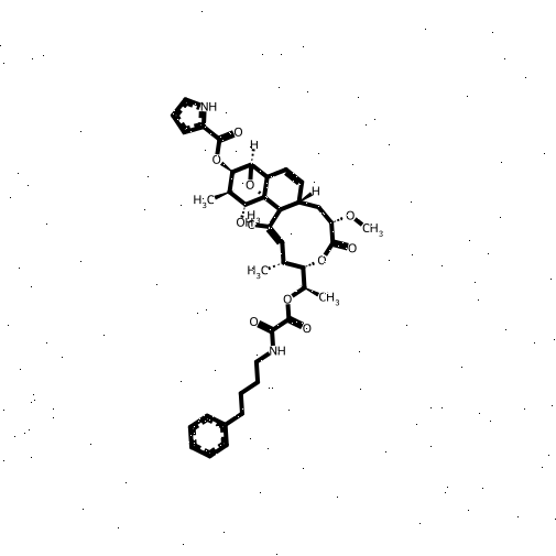 CO[C@H]1C[C@H]2C=CC3C4[C@H](O)[C@@H](C)[C@@H](OC(=O)c5ccc[nH]5)[C@@H]3O[C@]42/C(C)=C/[C@@H](C)[C@@H]([C@@H](C)OC(=O)C(=O)NCCCCc2ccccc2)OC1=O